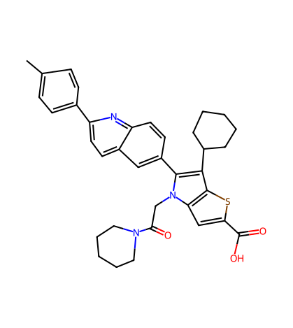 Cc1ccc(-c2ccc3cc(-c4c(C5CCCCC5)c5sc(C(=O)O)cc5n4CC(=O)N4CCCCC4)ccc3n2)cc1